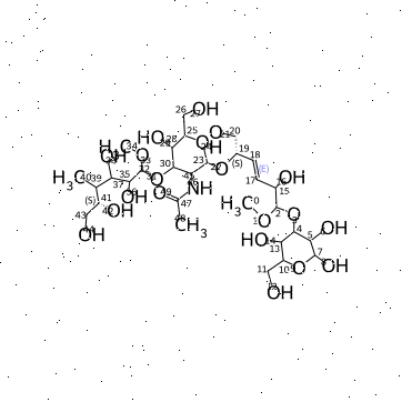 COC(OC1C(O)C(O)OC(CO)C1O)C(O)/C=C/[C@@H](CO)OC1OC(CO)C(O)C(OC(OC)C(O)C(O)C(C)[C@H](O)CO)C1NC(C)=O